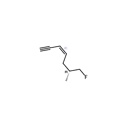 C#C/C=C\C[C@@H](C)CF